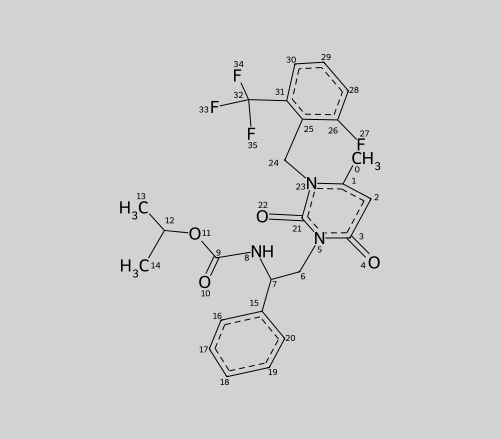 Cc1cc(=O)n(CC(NC(=O)OC(C)C)c2ccccc2)c(=O)n1Cc1c(F)cccc1C(F)(F)F